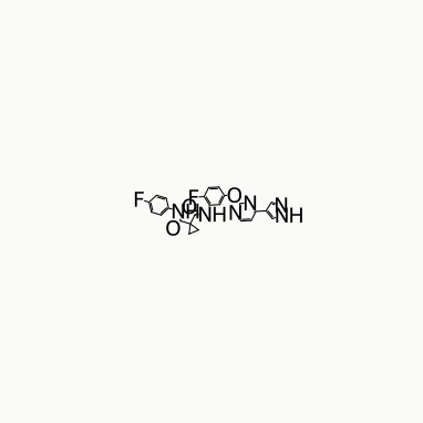 O=C(Nc1ccc(F)cc1)C1(C(=O)Nc2cc(Oc3nccc(-c4cn[nH]c4)n3)ccc2F)CC1